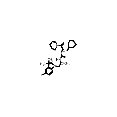 C[C@@H](CN1CC(C)(C)c2cc(F)ccc21)NC(=O)O[C@@H](CC1CCCCC1)C(=O)N1CCCCC1